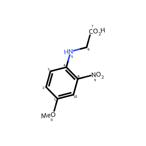 COc1ccc(NCC(=O)O)c([N+](=O)[O-])c1